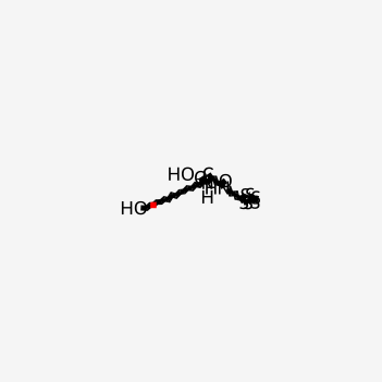 O=C(CCC(NC(=O)CCCCCCCCCCCCCCCO)C(=O)O)NCCCCC1SSC2(SS1)SS2